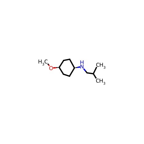 CO[C@H]1CC[C@@H](NCC(C)C)CC1